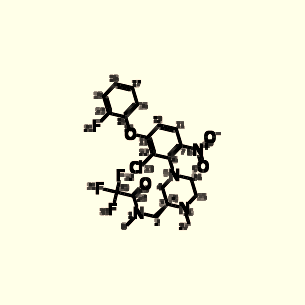 CN(C[C@H]1CN(c2c([N+](=O)[O-])ccc(Oc3ccccc3F)c2Cl)CCN1C)C(=O)C(F)(F)F